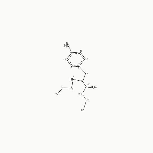 CCCNC(Cc1ccc(O)cc1)C(=O)OCC